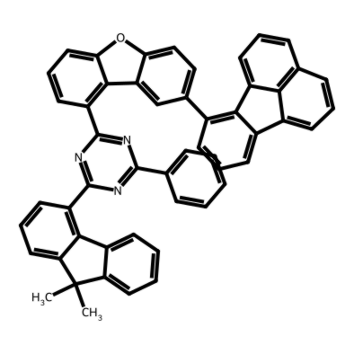 CC1(C)c2ccccc2-c2c(-c3nc(-c4ccccc4)nc(-c4cccc5oc6ccc(-c7cccc8c7-c7cccc9cccc-8c79)cc6c45)n3)cccc21